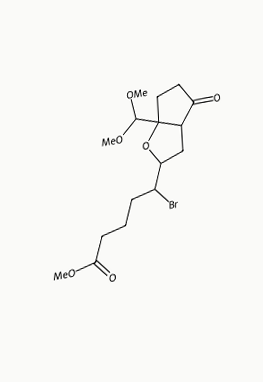 COC(=O)CCCC(Br)C1CC2C(=O)CCC2(C(OC)OC)O1